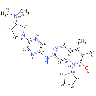 CC(=O)c1c(C)c2cnc(Nc3cnc(N4CCC(N(C)C)C4)cn3)cc2n(C2CCCC2)c1=O